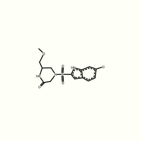 COCC1CN(S(=O)(=O)c2cc3ccc(Cl)cc3[nH]2)CC(=O)N1